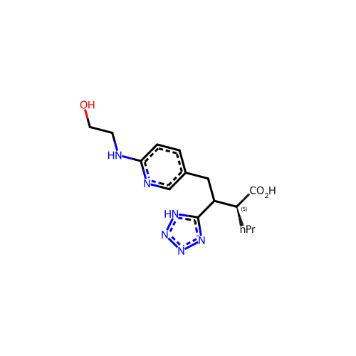 CCC[C@H](C(=O)O)C(Cc1ccc(NCCO)nc1)c1nnn[nH]1